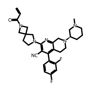 C=CC(=O)N1CC2(CCN(c3nc4c(c(-c5ccc(F)cc5F)c3C#N)CCN([C@@H]3CCCN(C)C3)C4)C2)C1